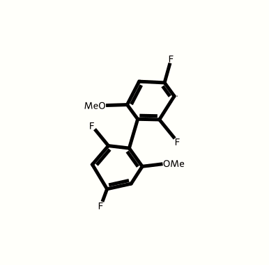 COc1cc(F)[c]c(F)c1-c1c(F)cc(F)cc1OC